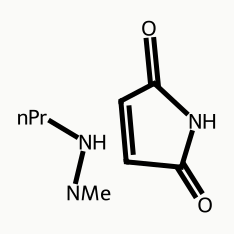 CCCNNC.O=C1C=CC(=O)N1